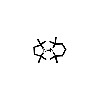 CC1(C)CCCC(C)(C)N1N1C(C)(C)CCC1(C)C